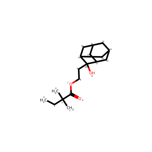 CCC(C)(C)C(=O)OCCC1(O)C2CC3CC(C2)CC1C3